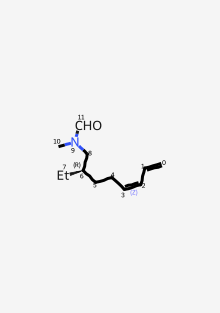 C=C/C=C\CC[C@@H](CC)CN(C)C=O